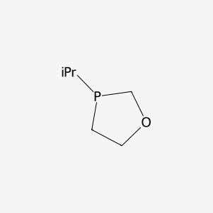 CC(C)P1CCOC1